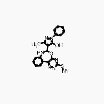 CCCSc1nnc2c(n1)OC(c1c(C)nn(-c3ccccc3)c1O)Nc1ccccc1-2